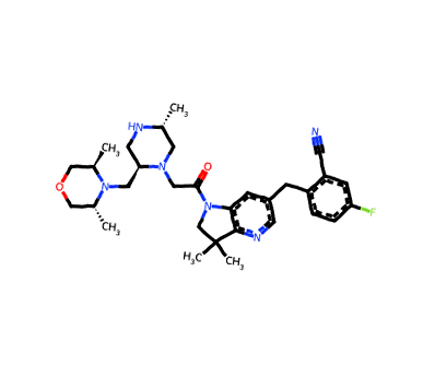 C[C@@H]1CN(CC(=O)N2CC(C)(C)c3ncc(Cc4ccc(F)cc4C#N)cc32)[C@@H](CN2[C@H](C)COC[C@H]2C)CN1